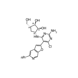 CCCc1cc2cc(-c3c(Cl)nc(N)nc3N[C@@H]3C[C@H](CO)[C@@H](O)[C@H]3O)oc2cn1